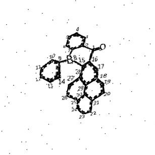 O=C1c2ccccc2B(c2ccccc2)c2c1cc1ccc3cccc4ccc2c1c34